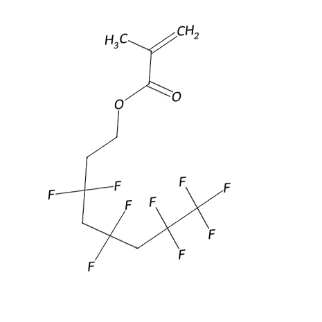 C=C(C)C(=O)OCCC(F)(F)CC(F)(F)CC(F)(F)C(F)(F)F